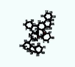 C1=CC(c2nc(-c3ccccc3-c3cc4c5ccccc5ccc4c4ncccc34)nc(-c3cccc4sc5ccccc5c34)n2)=CCC1